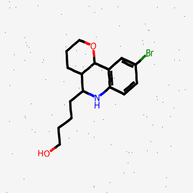 OCCCCC1Nc2ccc(Br)cc2C2OCCCC12